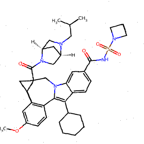 COc1ccc2c(c1)C1CC1(C(=O)N1C[C@H]3C[C@@H]1CN3CC(C)C)Cn1c-2c(C2CCCCC2)c2ccc(C(=O)NS(=O)(=O)N3CCC3)cc21